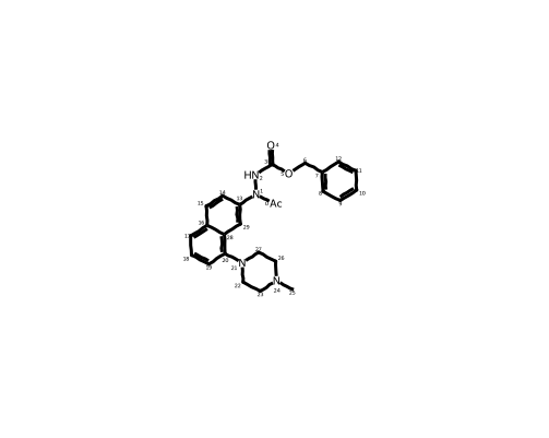 CC(=O)N(NC(=O)OCc1ccccc1)c1ccc2cccc(N3CCN(C)CC3)c2c1